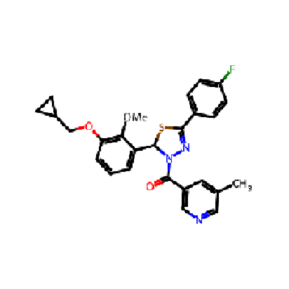 COc1c(OCC2CC2)cccc1C1SC(c2ccc(F)cc2)=NN1C(=O)c1cncc(C)c1